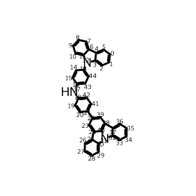 c1ccc2c(c1)c1ccccc1n2-c1ccc(Nc2ccc(-c3cc4c5ccccc5n5c6ccccc6c(c3)c45)cc2)cc1